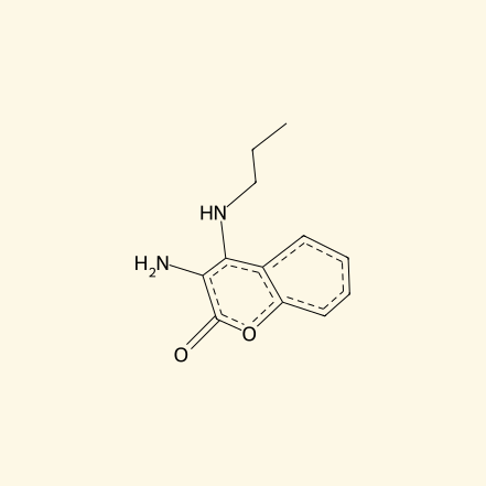 CCCNc1c(N)c(=O)oc2ccccc12